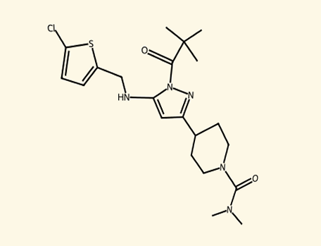 CN(C)C(=O)N1CCC(c2cc(NCc3ccc(Cl)s3)n(C(=O)C(C)(C)C)n2)CC1